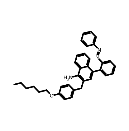 CCCCCCOc1ccc(Cc2cc(-c3ccccc3N=Nc3ccccc3)c3ccccc3c2N)cc1